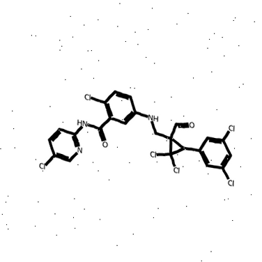 O=CC1(CNc2ccc(Cl)c(C(=O)Nc3ccc(Cl)cn3)c2)C(c2cc(Cl)cc(Cl)c2)C1(Cl)Cl